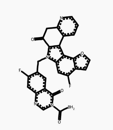 BC(=O)n1cnc2cc(F)c(Cn3c4c(c5c6occc6c(F)cc53)-c3cccnc3CC4=O)cc2c1=O